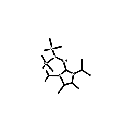 CC(C)N1C(C)C(C)N(C(C)C)C1NN([Si](C)(C)C)[Si](C)(C)C